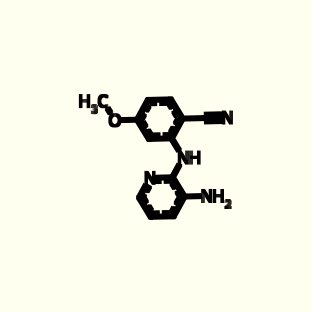 COc1ccc(C#N)c(Nc2ncccc2N)c1